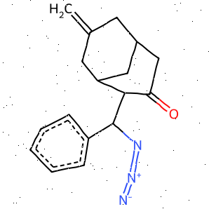 C=C1CC2CC(=O)C(C(N=[N+]=[N-])c3ccccc3)C(C1)C2